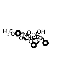 COc1ccc(Cn2c(=O)ccn([C@@H]3O[C@](CO)(COCc4ccccc4)[C@@H](OCc4ccccc4)[C@@H]3Cl)c2=O)cc1